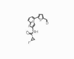 O=Cc1ccc(-c2cccc3nc(NC(=O)[C@H]4C[C@@H]4F)cn23)s1